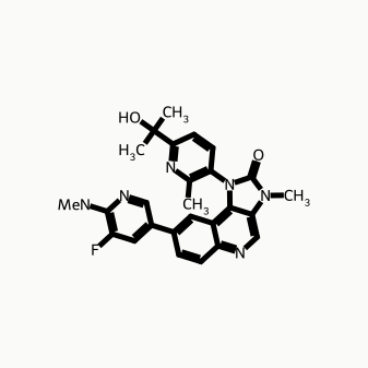 CNc1ncc(-c2ccc3ncc4c(c3c2)n(-c2ccc(C(C)(C)O)nc2C)c(=O)n4C)cc1F